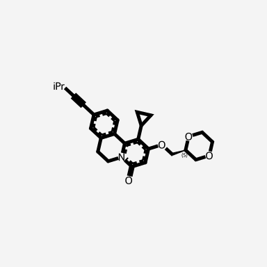 CC(C)C#Cc1ccc2c(c1)CCn1c-2c(C2CC2)c(OC[C@@H]2COCCO2)cc1=O